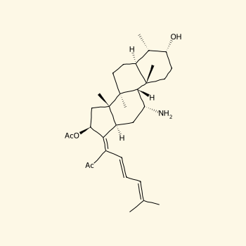 CC(=O)O[C@H]1C[C@@]2(C)[C@@H](C[C@@H](N)[C@H]3[C@@]4(C)CC[C@@H](O)[C@@H](C)[C@@H]4CC[C@@]32C)/C1=C(\C=C\C=C(C)C)C(C)=O